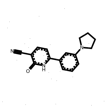 N#Cc1ccc(-c2cccc(N3CCCC3)c2)[nH]c1=O